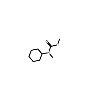 COC(=O)N(C)C1CC[CH]CC1